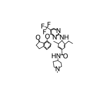 CCC1=CC(C(=O)NC2CCN(C)CC2)=CC(C)C1Nc1ncc(C(F)(F)F)c(Oc2cccc3c2C(=O)CC3)n1